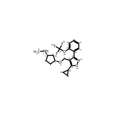 CN[C@@H]1CC[C@H](OCc2c(-c3ccccc3OC(F)(F)F)noc2C2CC2)C1